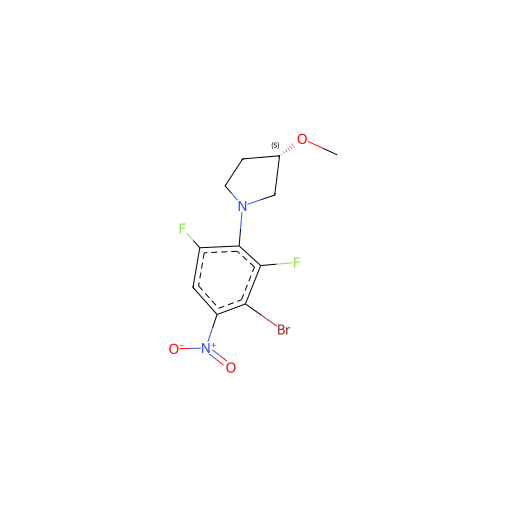 CO[C@H]1CCN(c2c(F)cc([N+](=O)[O-])c(Br)c2F)C1